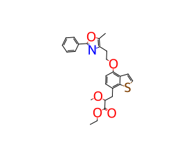 CCOC(=O)C(Cc1ccc(OCCc2nc(-c3ccccc3)oc2C)c2ccsc12)OC